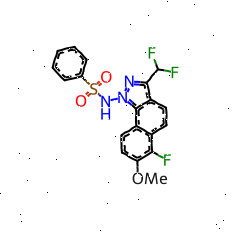 COc1ccc2c(ccc3c(C(F)F)nn(NS(=O)(=O)c4ccccc4)c32)c1F